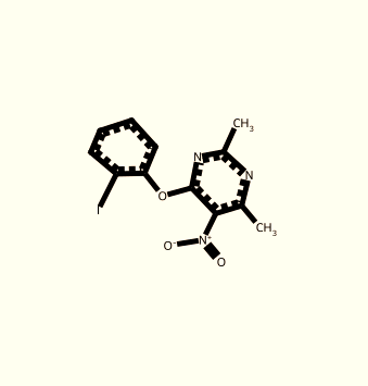 Cc1nc(C)c([N+](=O)[O-])c(Oc2ccccc2I)n1